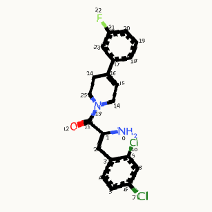 NC(Cc1ccc(Cl)cc1Cl)C(=O)N1CC=C(c2cccc(F)c2)CC1